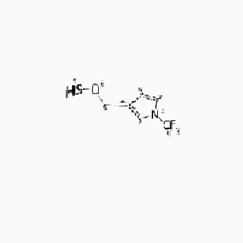 FC(F)(F)n1ccc(COS)c1